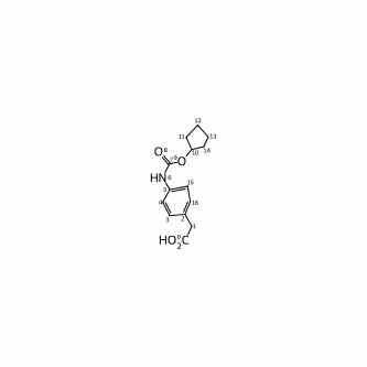 O=C(O)Cc1ccc(NC(=O)OC2CCCC2)cc1